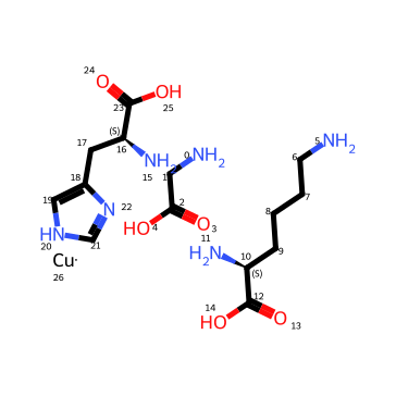 NCC(=O)O.NCCCC[C@H](N)C(=O)O.N[C@@H](Cc1c[nH]cn1)C(=O)O.[Cu]